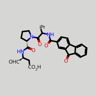 CC(C)C(NC(=O)c1ccc2c(c1)C(=O)c1ccccc1-2)C(=O)N1CCC[C@H]1C(=O)N[C@H](C=O)CC(=O)O